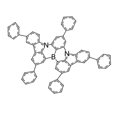 c1ccc(-c2cc3c4c(c2)-n2c5ccc(-c6ccccc6)cc5c5cc(-c6ccccc6)cc(c52)B4c2cc(-c4ccccc4)cc4c5cc(-c6ccccc6)ccc5n-3c24)cc1